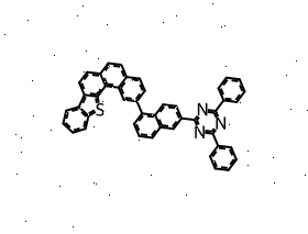 c1ccc(-c2nc(-c3ccccc3)nc(-c3ccc4c(-c5ccc6ccc7ccc8c9ccccc9sc8c7c6c5)cccc4c3)n2)cc1